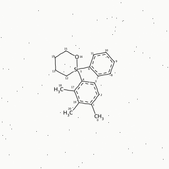 Cc1ccc([Si]2(c3ccccc3)CCCCO2)c(C)c1C